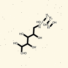 CC(=O)O.CC=O.CCO.O=CC(O)C(O)C(O)C(O)CO